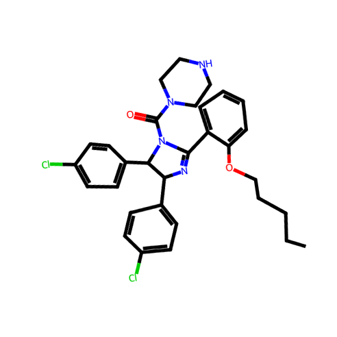 CCCCCOc1ccccc1C1=NC(c2ccc(Cl)cc2)C(c2ccc(Cl)cc2)N1C(=O)N1CCNCC1